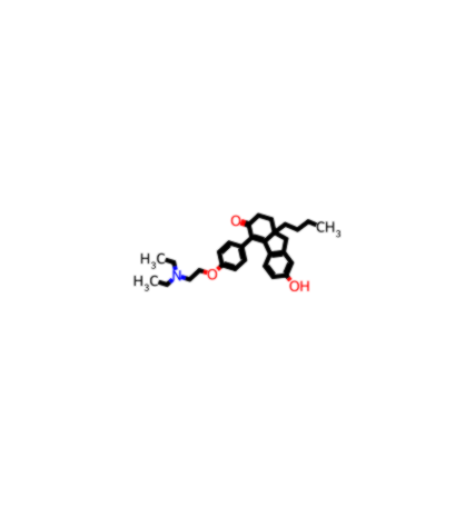 CCCCC12CCC(=O)C(c3ccc(OCCN(CC)CC)cc3)=C1c1ccc(O)cc1C2